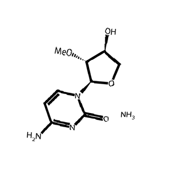 CO[C@H]1[C@H](n2ccc(N)nc2=O)OC[C@@H]1O.N